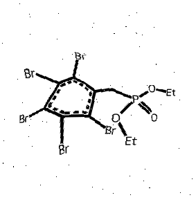 CCOP(=O)(Cc1c(Br)c(Br)c(Br)c(Br)c1Br)OCC